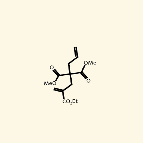 C=CCC(CC(=C)C(=O)OCC)(C(=O)OC)C(=O)OC